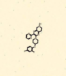 CC(=O)N1CCc2nc(N3CCC(Oc4ccc(F)cc4F)CC3)c(-c3ncccn3)nc2C1